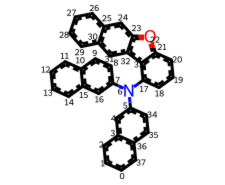 c1ccc2cc(N(c3ccc4ccccc4c3)c3cccc4oc5cc6ccccc6cc5c34)ccc2c1